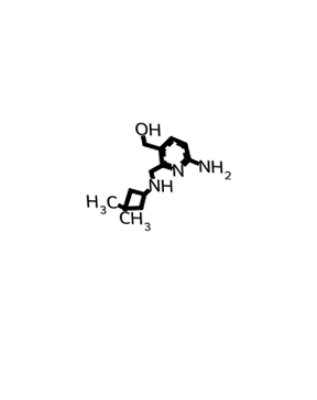 CC1(C)CC(NCc2nc(N)ccc2CO)C1